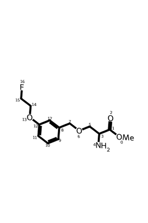 COC(=O)C(N)COCc1cccc(OCCF)c1